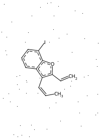 C=Cc1oc2c(I)cccc2c1/C=C\C